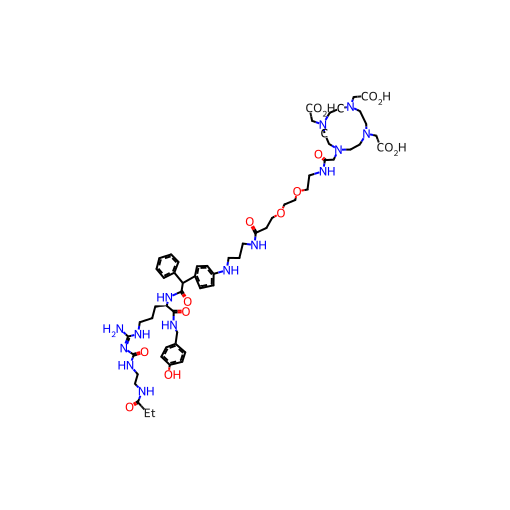 CCC(=O)NCCNC(=O)/N=C(/N)NCCC[C@@H](NC(=O)C(c1ccccc1)c1ccc(NCCCNC(=O)CCOCCOCCNC(=O)CN2CCN(CC(=O)O)CCN(CC(=O)O)CCN(CC(=O)O)CC2)cc1)C(=O)NCc1ccc(O)cc1